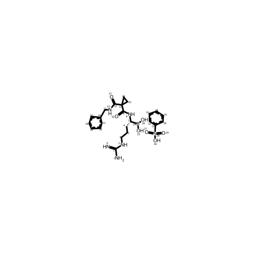 N=C(N)NCCC[C@H](NC(=O)C1(C(=O)NCc2ccccc2)CC1)B(O)O.O=S(=O)(O)c1ccccc1